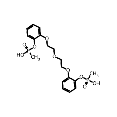 CP(=O)(O)Oc1ccccc1OCCOCCOc1ccccc1OP(C)(=O)O